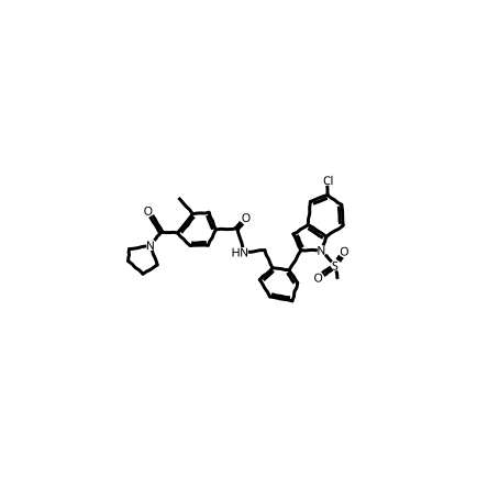 Cc1cc(C(=O)NCc2ccccc2-c2cc3cc(Cl)ccc3n2S(C)(=O)=O)ccc1C(=O)N1CCCC1